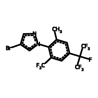 Cc1cc(C(F)(C(F)(F)F)C(F)(F)F)cc(C(F)(F)F)c1-n1cc(Br)cn1